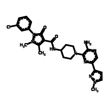 Cc1c(C(=O)NC2CCN(c3nc(-c4ccn(C)n4)cnc3N)CC2)c(=O)n(-c2cccc(Cl)c2)n1C